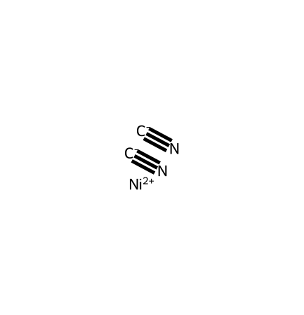 [C-]#N.[C-]#N.[Ni+2]